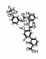 COc1cc(F)c(-c2cccc(C(=O)O)c2F)cc1C(=O)N[C@H]1[C@@H](C(=O)Nc2cccc(S(=O)(=O)C(F)(F)F)c2)[C@@H]2C=C[C@H]1C2